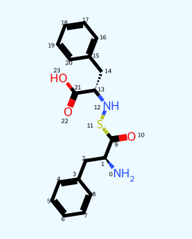 N[C@@H](Cc1ccccc1)C(=O)SN[C@@H](Cc1ccccc1)C(=O)O